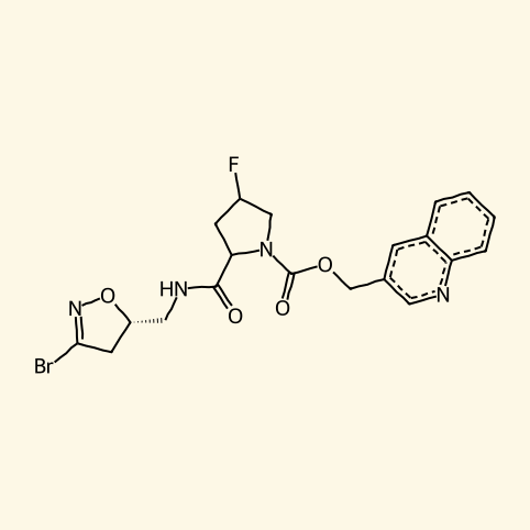 O=C(NC[C@@H]1CC(Br)=NO1)C1CC(F)CN1C(=O)OCc1cnc2ccccc2c1